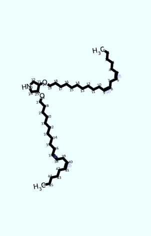 CCCCC/C=C\C/C=C\CCCCCCCCCCOC1CNC[C@H]1OCCCCCCCCCC/C=C\C/C=C\CCCCC